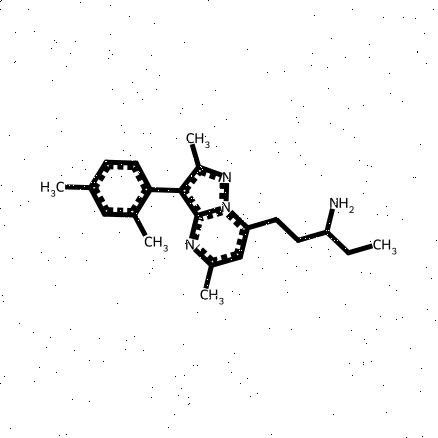 CCC(N)CCc1cc(C)nc2c(-c3ccc(C)cc3C)c(C)nn12